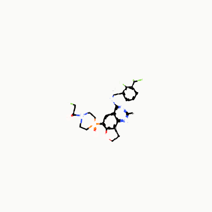 Cc1nc(N[C@H](C)c2cccc(C(F)F)c2F)c2cc(P3(=O)CCN(C(=O)CF)CC3)c3c(c2n1)CCO3